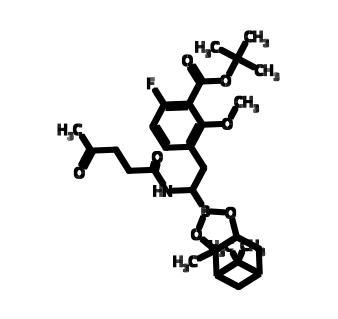 COc1c(CC(NC(=O)CCC(C)=O)B2OC3CC4CC(C4(C)C)C3(C)O2)ccc(F)c1C(=O)OC(C)(C)C